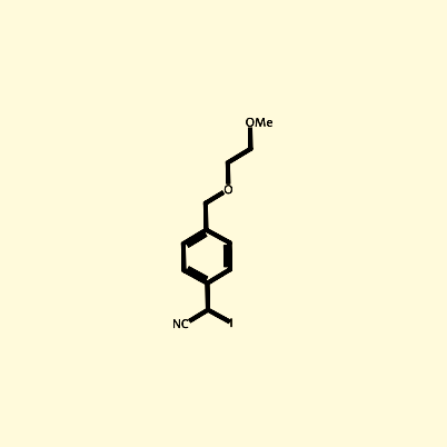 COCCOCc1ccc(C(I)C#N)cc1